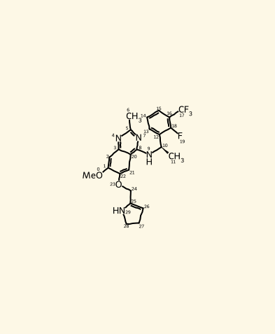 COc1cc2nc(C)nc(N[C@H](C)c3cccc(C(F)(F)F)c3F)c2cc1OCC1=CCCN1